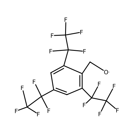 [O]Cc1c(C(F)(F)C(F)(F)F)cc(C(F)(F)C(F)(F)F)cc1C(F)(F)C(F)(F)F